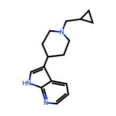 c1cnc2[nH]cc(C3CCN(CC4CC4)CC3)c2c1